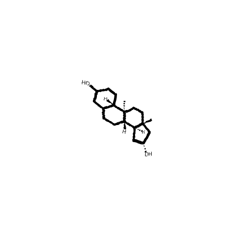 C[C@]12CC[C@]3(C)[C@H]4CCC(O)CC4CC[C@H]3[C@@H]1C[C@@H](O)C2